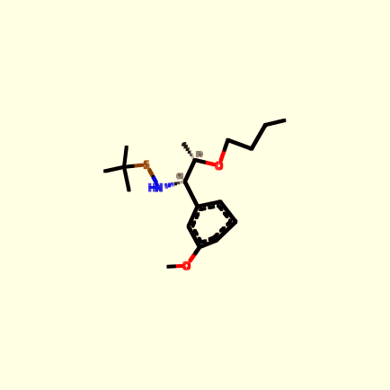 CCCCO[C@@H](C)[C@@H](NSC(C)(C)C)c1cccc(OC)c1